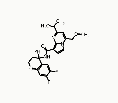 [2H]C1(NC(=O)c2ccn3c(COC)cc(C(C)C)nc23)CCOc2cc(F)c(F)cc21